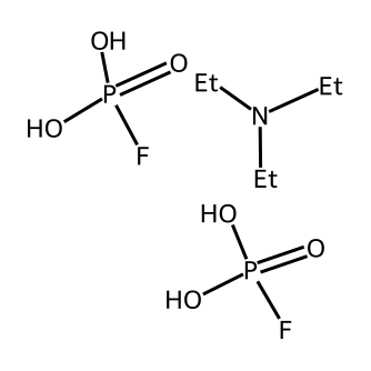 CCN(CC)CC.O=P(O)(O)F.O=P(O)(O)F